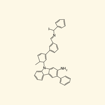 CC1C=CC(c2cccc(/C=N/C(I)c3ccccc3)c2)=CC1n1c2ccccc2c2cc(-c3ccccc3)c(N)cc21